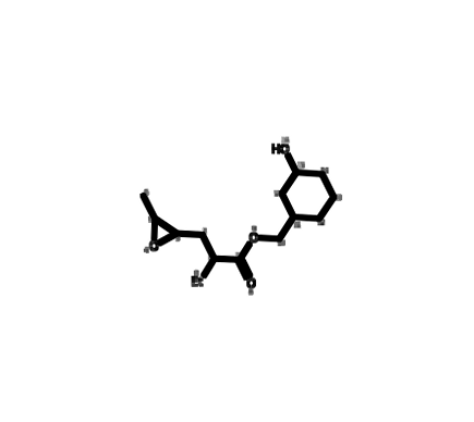 CCC(CC1OC1C)C(=O)OCC1CCCC(O)C1